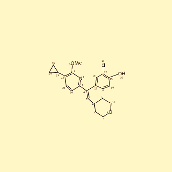 COc1nc(/C(=C/C2CCOCC2)c2ccc(O)c(Cl)c2)ccc1C1CC1